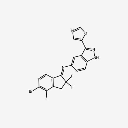 Fc1c(Br)ccc2c1CC(F)(F)C2=Nc1ccc2[nH]nc(-c3cnco3)c2c1